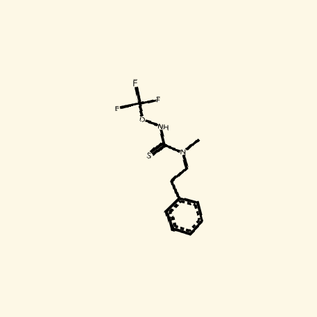 CN(CCc1ccccc1)C(=S)NOC(F)(F)F